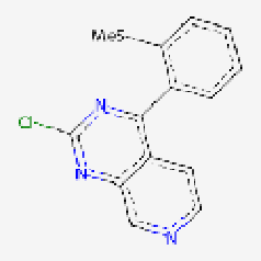 CSc1ccccc1-c1nc(Cl)nc2cnccc12